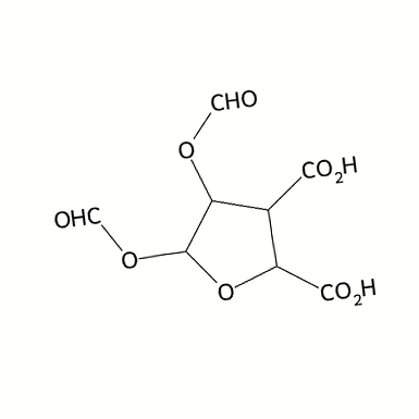 O=COC1OC(C(=O)O)C(C(=O)O)C1OC=O